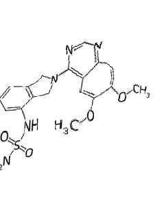 COc1cc2ncnc(N3Cc4cccc(NS(N)(=O)=O)c4C3)c2cc1OC